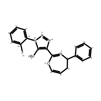 CCCCc1c(C2=NC(c3ccccc3)CC=CO2)nnn1-c1ccccc1F